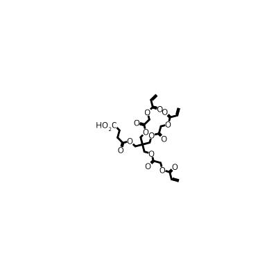 C=CC(=O)OCC(=O)OCC(COC(=O)CCC(=O)O)(COC(=O)COC(=O)C=C)COC(=O)COC(=O)C=C